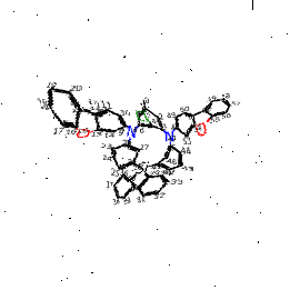 Cc1cc2c(Cl)c(c1)N(c1ccc3c(c1)oc1ccccc13)c1cccc(c1)[Si](c1ccccc1)(c1ccccc1)c1cccc(c1)N2c1ccc2c(c1)oc1ccccc12